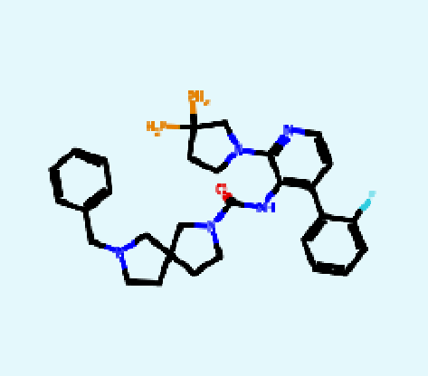 O=C(Nc1c(-c2ccccc2F)ccnc1N1CCC(P)(P)C1)N1CCC2(CCN(Cc3ccccc3)C2)C1